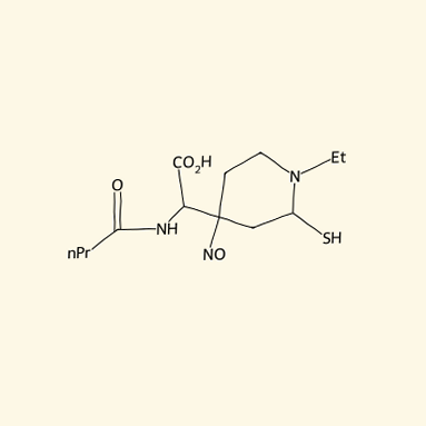 CCCC(=O)NC(C(=O)O)C1(N=O)CCN(CC)C(S)C1